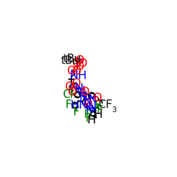 Cn1nc(N(C(=O)CC(C)(C)CNC(=O)OCOP(=O)(OC(C)(C)C)OC(C)(C)C)S(C)(=O)=O)c2c(Cl)ccc(-n3c([C@H](Cc4cc(F)cc(F)c4)NC(=O)Cn4nc(C(F)F)c5c4C(F)(F)[C@@H]4C[C@H]54)nc4nc(OCCC(F)(F)F)ccc4c3=O)c21